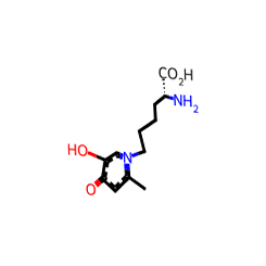 Cc1cc(=O)c(O)cn1CCCC[C@@H](N)C(=O)O